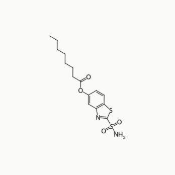 CCCCCCCC(=O)Oc1ccc2sc(S(N)(=O)=O)nc2c1